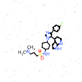 CN(C)CCCS(=O)(=O)NC1CCC(n2cnc(-c3ccc(F)cc3)c2-c2ccnc3[nH]ccc23)CC1